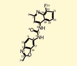 Cc1cc(NC(=O)Nc2ccc3nc(C)oc3c2)c2cccc(F)c2n1